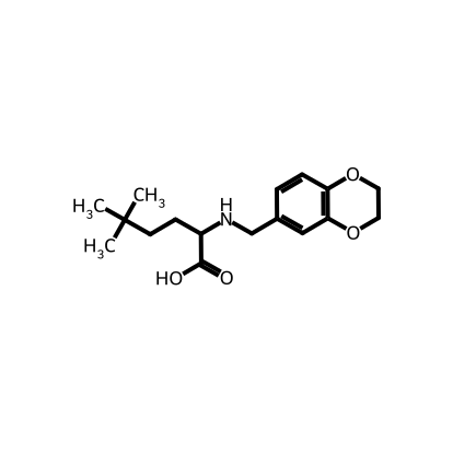 CC(C)(C)CCC(NCc1ccc2c(c1)OCCO2)C(=O)O